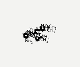 CC(C)Oc1ccc(-c2ccc(C(=O)NS(=O)(=O)c3cccc(N)c3)c(N3CCCC3C(C)(C)C)n2)cn1